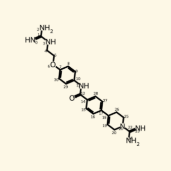 N=C(N)NCCOc1ccc(NC(=O)c2ccc(C3=CCN(C(=N)N)CC3)cc2)cc1